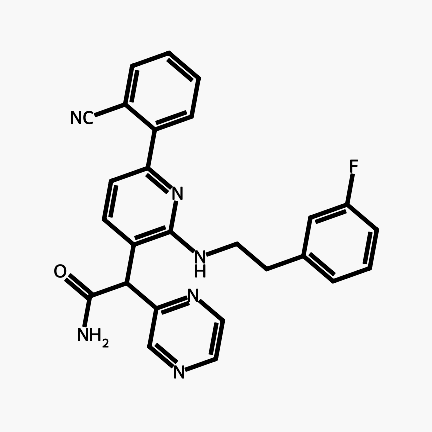 N#Cc1ccccc1-c1ccc(C(C(N)=O)c2cnccn2)c(NCCc2cccc(F)c2)n1